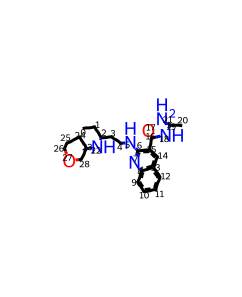 CCC(CCNc1nc2ccccc2cc1C(=O)NC(C)N)NC1CCCOC1